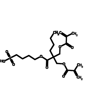 C=C(C)C(=O)OCC(CCCC)(COC(=O)C(=C)C)C(=O)OCCCCS(=O)(=O)O